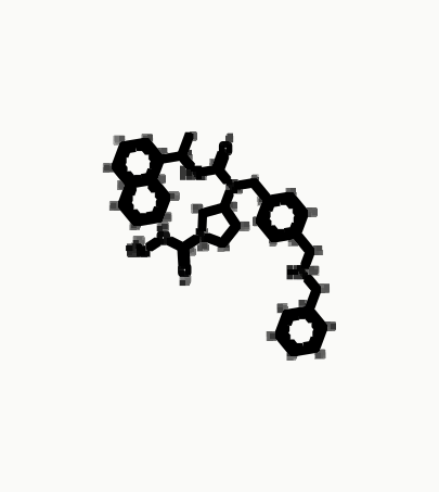 CC(NC(=O)N(Cc1ccc(CNCc2ccccc2)cc1)C1CCN(C(=O)OC(C)(C)C)C1)c1cccc2ccccc12